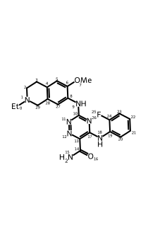 CCN1CCc2cc(OC)c(Nc3nnc(C(N)=O)c(Nc4ccccc4F)n3)cc2C1